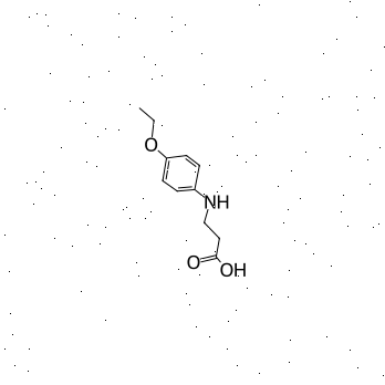 CCOc1ccc(NCCC(=O)O)cc1